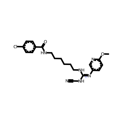 COc1ccc(/N=C(/NC#N)NCCCCCCNC(=O)c2ccc(Cl)cc2)cn1